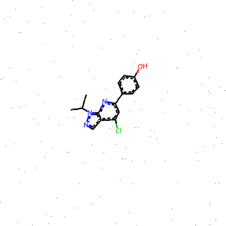 CC(C)n1ncc2c(Cl)cc(-c3ccc(O)cc3)nc21